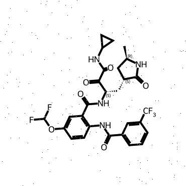 C[C@@H]1C[C@@H](C[C@H](NC(=O)c2cc(OC(F)F)ccc2NC(=O)c2cccc(C(F)(F)F)c2)C(=O)C(=O)NC2CC2)C(=O)N1